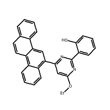 CCOc1cc(-c2cc3c4ccccc4ccc3c3ccccc23)nc(-c2ccccc2O)n1